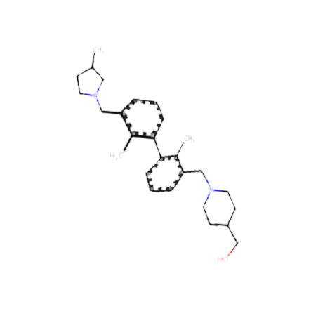 Cc1c(CN2CCC(CO)CC2)cccc1-c1cccc(CN2CCC(C)C2)c1C